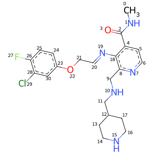 CNC(=O)c1ccnc(CNCC2CCNCC2)c1/N=C/COc1ccc(F)c(Cl)c1